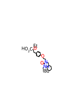 CCOC(Cc1ccc(OCCN(CC2CCCCC2)C(=O)NCC(C)(C)C)cc1)C(=O)O